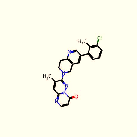 Cc1cc2nccc(=O)n2nc1N1CCc2ncc(-c3cccc(Cl)c3C)cc2C1